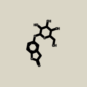 O=C1Cc2cc(OC3OC(CO)C(O)C(O)C3O)ccc2O1